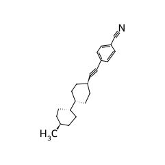 C[C@H]1CC[C@H]([C@H]2CC[C@H](C#Cc3ccc(C#N)cc3)CC2)CC1